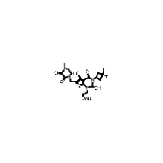 COCCN1c2sc(CN3CCNC(=O)C3=O)c(C)c2C(=O)N(C2CC(F)(F)C2)C1O